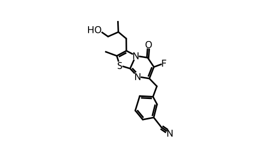 Cc1sc2nc(Cc3cccc(C#N)c3)c(F)c(=O)n2c1CC(C)CO